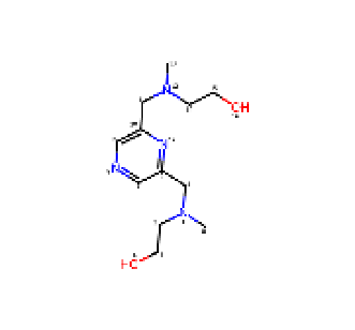 CN(CCO)Cc1cncc(CN(C)CCO)n1